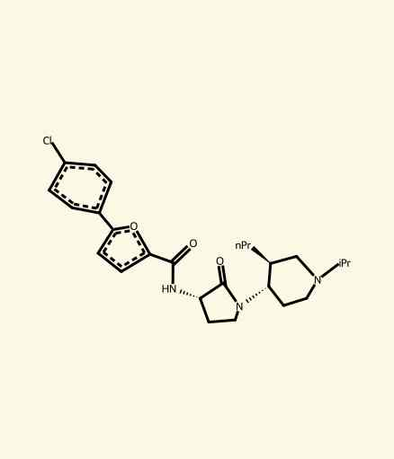 CCC[C@H]1CN(C(C)C)CC[C@@H]1N1CC[C@H](NC(=O)c2ccc(-c3ccc(Cl)cc3)o2)C1=O